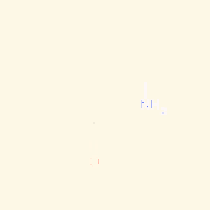 CN.O=C1CCCCCC1